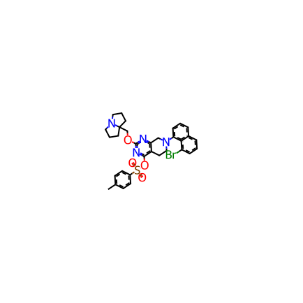 Cc1ccc(S(=O)(=O)Oc2nc(OCC34CCCN3CCC4)nc3c2CCN(c2cccc4cccc(Br)c24)C3)cc1